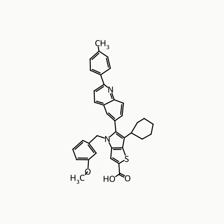 COc1cccc(Cn2c(-c3ccc4nc(-c5ccc(C)cc5)ccc4c3)c(C3CCCCC3)c3sc(C(=O)O)cc32)c1